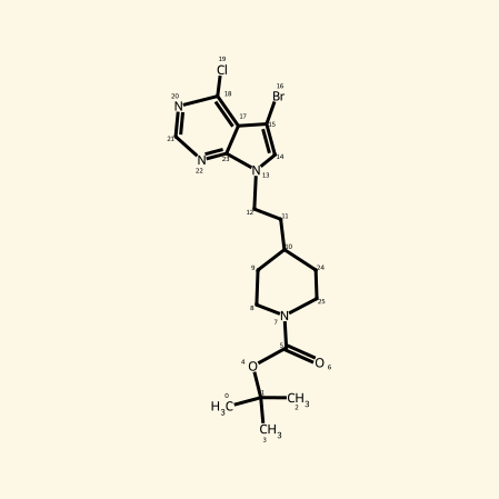 CC(C)(C)OC(=O)N1CCC(CCn2cc(Br)c3c(Cl)ncnc32)CC1